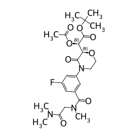 CC(=O)O[C@@H](C(=O)OC(C)(C)C)[C@H]1OCCN(c2cc(F)cc(C(=O)N(C)CC(=O)N(C)C)c2)C1=O